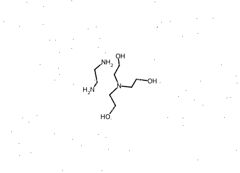 NCCN.OCCN(CCO)CCO